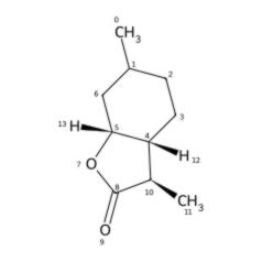 CC1CC[C@H]2[C@@H](C1)OC(=O)[C@@H]2C